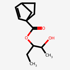 CCC(OC(=O)C12C=CC(CC1)C2)C(C)O